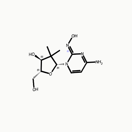 CC1(C)[C@H](O)[C@@H](CO)O[C@H]1n1ccc(N)n/c1=N\O